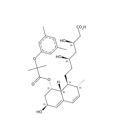 Cc1cc(C)cc(OC(C)(C)C(=O)O[C@H]2C[C@H](O)C=C3C=C[C@@H](C)[C@H](CC[C@@H](O)C[C@@H](O)CC(=O)O)[C@H]32)c1